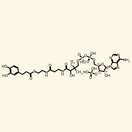 CC(C)(COP(=O)(O)OP(=O)(O)OC[C@H]1O[C@@H](n2cnc3c(N)ncnc32)[C@H](O)[C@@H]1OP(=O)(O)O)C(O)C(=O)NCCC(=O)NCCSC(=O)CCc1ccc(O)c(O)c1